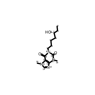 CC[C@@H](O)CCCCn1c(=O)c2c(ncn2C)n(C)c1=O